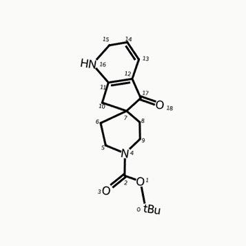 CC(C)(C)OC(=O)N1CCC2(CC1)CC1=C(C=CCN1)C2=O